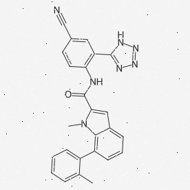 Cc1ccccc1-c1cccc2cc(C(=O)Nc3ccc(C#N)cc3-c3nnn[nH]3)n(C)c12